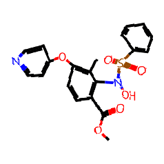 COC(=O)c1ccc(Oc2ccncc2)c(C)c1N(O)S(=O)(=O)c1ccccc1